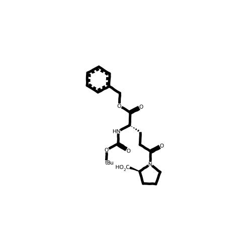 CC(C)(C)OC(=O)N[C@@H](CCC(=O)N1CCC[C@H]1C(=O)O)C(=O)OCc1ccccc1